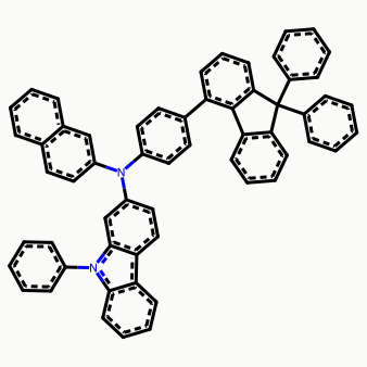 c1ccc(-n2c3ccccc3c3ccc(N(c4ccc(-c5cccc6c5-c5ccccc5C6(c5ccccc5)c5ccccc5)cc4)c4ccc5ccccc5c4)cc32)cc1